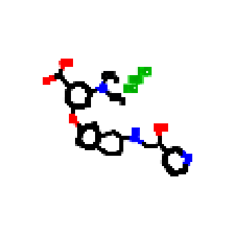 CN(C)c1cc(Oc2ccc3c(c2)C[C@@H](NC[C@@H](O)c2cccnc2)CC3)cc(C(=O)O)c1.Cl.Cl.Cl